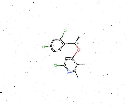 Cc1nc(Cl)cc(O[C@H](C)c2ccc(Cl)cc2Cl)c1C